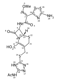 CON=C(C(=O)NC1C(=O)N2C(C(=O)O)=C(CSc3nnc(NC(C)=O)[nH]3)CS[C@@H]12)c1csc(N)n1